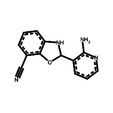 N#Cc1cccc2c1OC(c1cccnc1N)N2